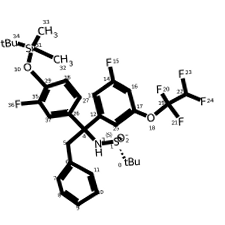 CC(C)(C)[S@@+]([O-])NC(Cc1ccccc1)(c1cc(F)cc(OC(F)(F)C(F)F)c1)c1ccc(O[Si](C)(C)C(C)(C)C)c(F)c1